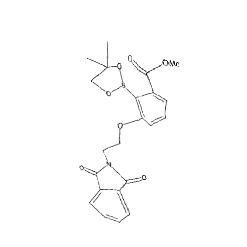 COC(=O)c1cccc(OCCN2C(=O)c3ccccc3C2=O)c1B1OCC(C)(C)O1